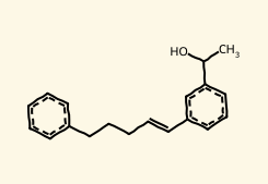 CC(O)c1cccc(C=CCCCc2ccccc2)c1